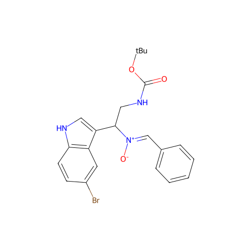 CC(C)(C)OC(=O)NCC(c1c[nH]c2ccc(Br)cc12)[N+]([O-])=Cc1ccccc1